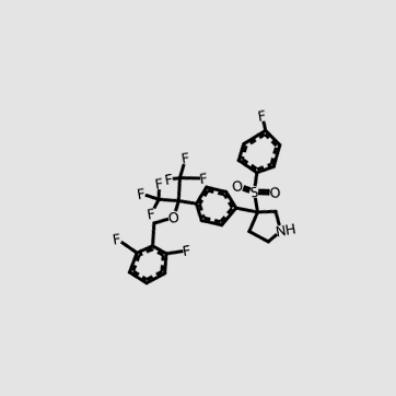 O=S(=O)(c1ccc(F)cc1)C1(c2ccc(C(OCc3c(F)cccc3F)(C(F)(F)F)C(F)(F)F)cc2)CCNC1